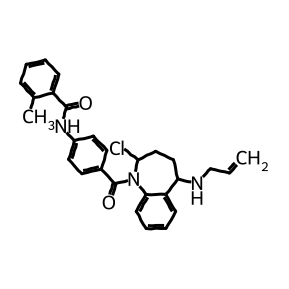 C=CCNC1CCC(Cl)N(C(=O)c2ccc(NC(=O)c3ccccc3C)cc2)c2ccccc21